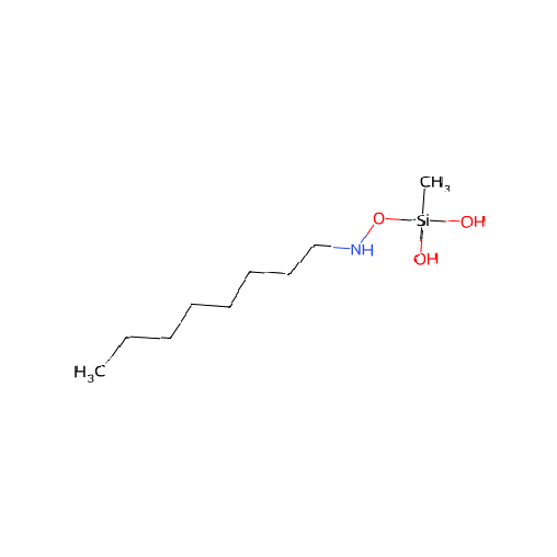 CCCCCCCCNO[Si](C)(O)O